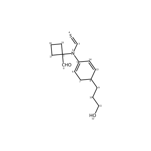 O=CC1(N(C=S)C2=CCC(CCCO)C=C2)CCC1